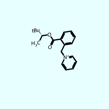 C[C@@H](OC(=O)c1ccccc1C[n+]1ccccc1)C(C)(C)C